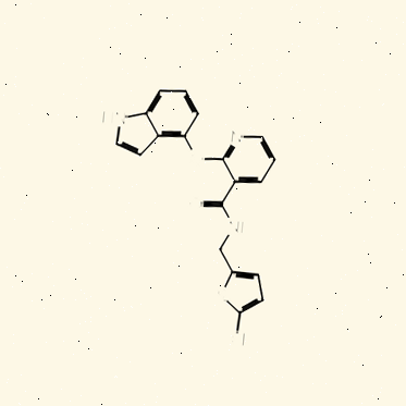 O=C(NCc1ccc(Cl)s1)c1cccnc1Oc1cccc2[nH]ccc12